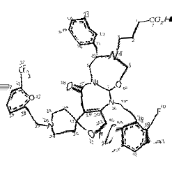 O=C(O)CCCN1COC2N(C[C@H]1c1ccccc1)C(=O)C1=C(COC13CCN(Cc1ccc(C(F)(F)F)o1)CC3)N2Cc1c(F)cccc1C(F)(F)F